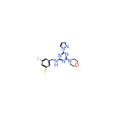 Fc1cc(F)cc(CNc2nc(N3CCOCC3)nc(-n3cccn3)n2)c1